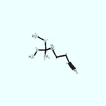 COC(C)(OC)[SiH2]CCC#N